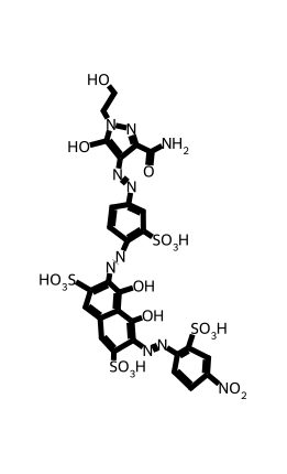 NC(=O)c1nn(CCO)c(O)c1/N=N/c1ccc(/N=N/c2c(S(=O)(=O)O)cc3cc(S(=O)(=O)O)c(/N=N/c4ccc([N+](=O)[O-])cc4S(=O)(=O)O)c(O)c3c2O)c(S(=O)(=O)O)c1